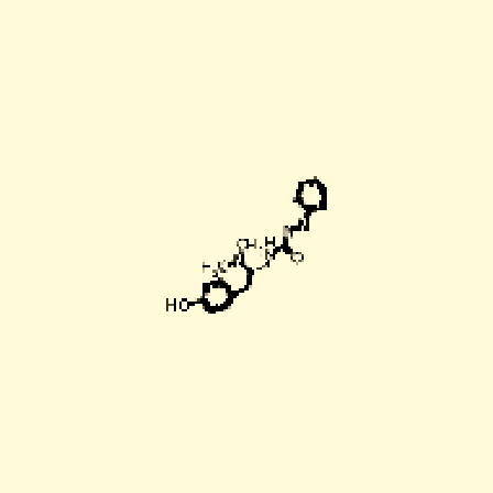 CN(C)[C@H](CNC(=O)/N=N/c1ccccc1)Cc1ccc(O)cc1